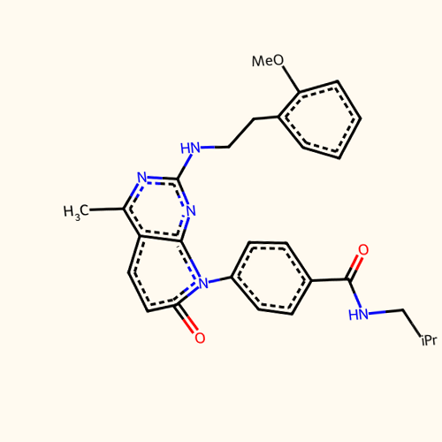 COc1ccccc1CCNc1nc(C)c2ccc(=O)n(-c3ccc(C(=O)NCC(C)C)cc3)c2n1